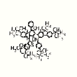 CC(C)(C)c1ccc(N2B3c4sc5cc6c(cc5c4-n4c5ccc(C(C)(C)C)cc5c5c7c(oc8ccccc87)c(c3c54)-c3cc4c(cc32)-c2ccc(C(C)(C)C)cc2C4(C)C)C(C)(C)CCC6(C)C)cc1